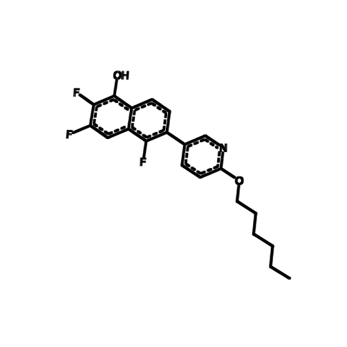 CCCCCCOc1ccc(-c2ccc3c(O)c(F)c(F)cc3c2F)cn1